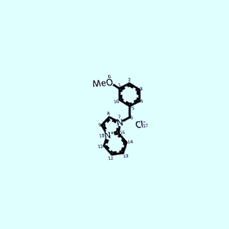 COc1cccc(Cn2cc[n+]3ccccc23)c1.[Cl-]